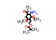 C=C(C)C(=O)OCCc1c(OC)cc(C(C)=O)c(N)c1OC